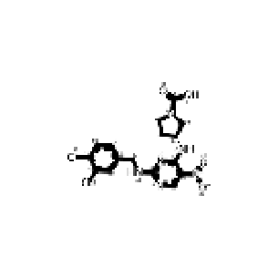 O=C(O)N1CC[C@@H](Nc2nc(NCc3ccc(Cl)c(Cl)c3)ncc2[N+](=O)[O-])C1